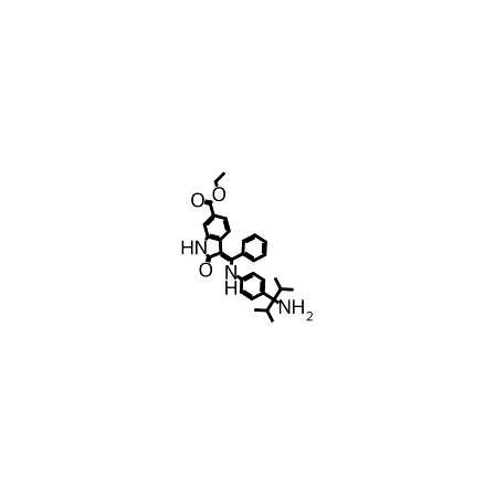 CCOC(=O)c1ccc2c(c1)NC(=O)/C2=C(\Nc1ccc(C(N)(C(C)C)C(C)C)cc1)c1ccccc1